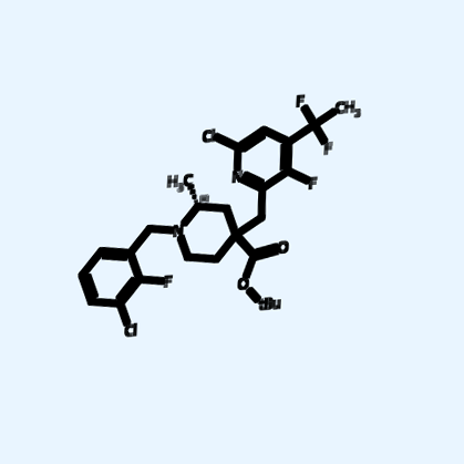 C[C@@H]1CC(Cc2nc(Cl)cc(C(C)(F)F)c2F)(C(=O)OC(C)(C)C)CCN1Cc1cccc(Cl)c1F